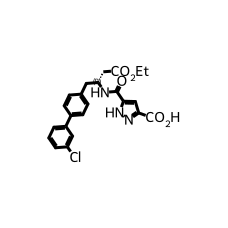 CCOC(=O)C[C@@H](Cc1ccc(-c2cccc(Cl)c2)cc1)NC(=O)c1cc(C(=O)O)n[nH]1